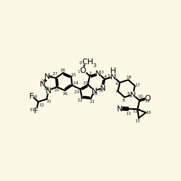 COc1nc(NC2CCN(C(=O)C3(C#N)CC3)CC2)nn2ccc(-c3ccc4nnn(CC(F)F)c4c3)c12